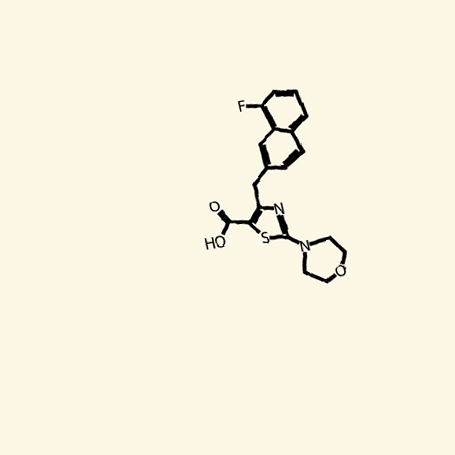 O=C(O)c1sc(N2CCOCC2)nc1Cc1ccc2cccc(F)c2c1